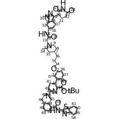 Cc1c(OCCC[C@@H]2CCN(CC(=O)Nc3ccc4c(C5CCC(=O)NC5=O)nn(C)c4c3)[C@H](C)C2)cccc1-c1ccc(N2CCc3cccc(C(=O)Nc4nc5ccccc5s4)c3C2)nc1C(=O)OC(C)(C)C